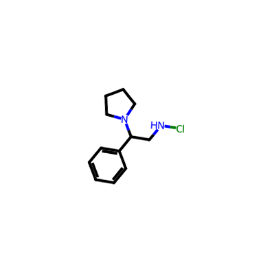 ClNCC(c1ccccc1)N1CCCC1